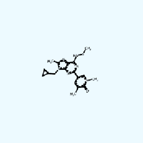 CSNc1nc(-c2cc(C)c(=O)n(C)c2)nc2c1nc(C)n2CC1CC1